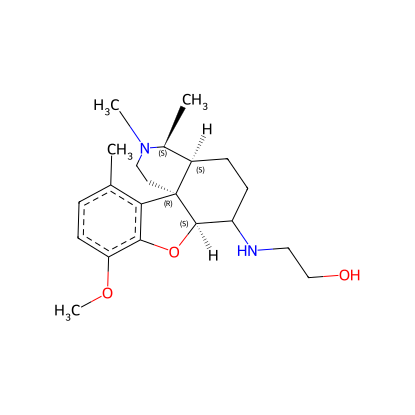 COc1ccc(C)c2c1O[C@@H]1C(NCCO)CC[C@@H]3[C@H](C)N(C)CC[C@@]213